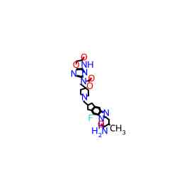 CC(Cc1nc2cc3c(c(F)c2[nH]1)CC(CN1CCC2(CC1)CN(c1cnc4c(n1)NC(=O)CO4)C(=O)O2)C3)C(N)=O